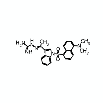 CC(=NNC(=N)N)c1cn(S(=O)(=O)c2cccc3c(N(C)C)cccc23)c2ccccc12